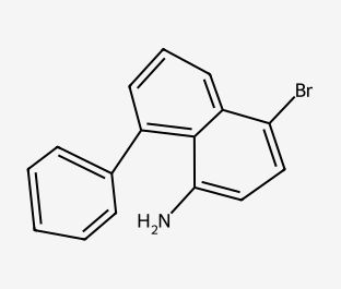 Nc1ccc(Br)c2cccc(-c3ccccc3)c12